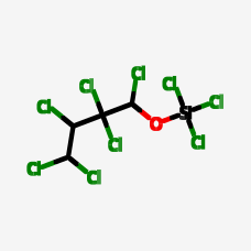 ClC(Cl)C(Cl)C(Cl)(Cl)C(Cl)O[Si](Cl)(Cl)Cl